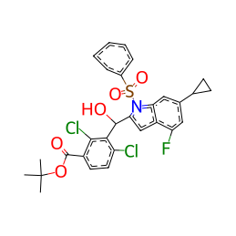 CC(C)(C)OC(=O)c1ccc(Cl)c(C(O)c2cc3c(F)cc(C4CC4)cc3n2S(=O)(=O)c2ccccc2)c1Cl